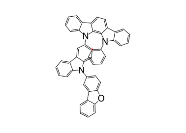 c1ccc(-n2c3ccccc3c3ccc4c5ccccc5n(-c5ccc6c(c5)c5ccccc5n6-c5ccc6oc7ccccc7c6c5)c4c32)cc1